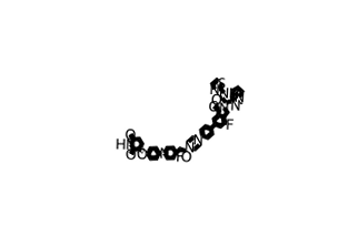 O=C1CC[C@H](Oc2ccc(N3CCC(F)(CC(=O)N4CCN(c5ccc(-c6cc(F)c7c(c6)C(=O)N(C(C(=O)Nc6nccs6)c6ncn8c6CCC8)C7)cc5)CC4)CC3)cc2)C(=O)N1